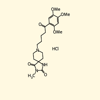 COc1cc(OC)c(C(=O)CCCCN2CCC3(CC2)NC(=O)N(C)C3=O)cc1OC.Cl